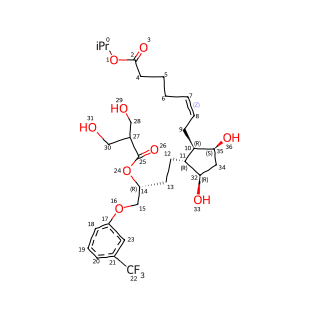 CC(C)OC(=O)CCC/C=C\C[C@@H]1[C@@H](CC[C@H](COc2cccc(C(F)(F)F)c2)OC(=O)C(CO)CO)[C@H](O)C[C@@H]1O